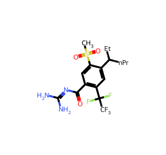 CCCC(CC)c1cc(C(F)(F)C(F)(F)F)c(C(=O)N=C(N)N)cc1S(C)(=O)=O